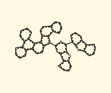 c1ccc2c(c1)ccc1c3c4c5ccccc5c5ccccc5c4ccc3n(-c3nc(-c4cccc5c4sc4ccccc45)c4sc5ccccc5c4n3)c21